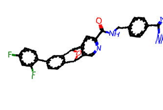 N=C(N)c1ccc(CNC(=O)c2cc3c(cn2)C2OC3c3cc(-c4ccc(F)cc4F)ccc32)cc1